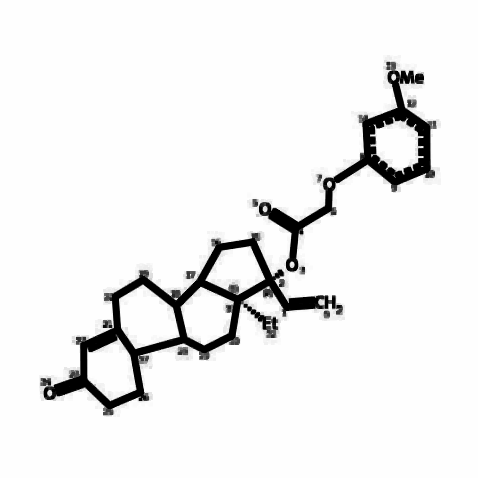 C=C[C@]1(OC(=O)COc2cccc(OC)c2)CCC2C3CCC4=CC(=O)CCC4C3CC[C@@]21CC